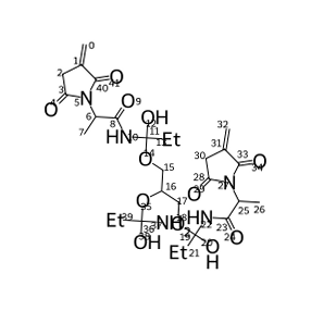 C=C1CC(=O)N(C(C)C(=O)NC(O)(CC)OCC(COC(O)(CC)NC(=O)C(C)N2C(=O)CC(=C)C2=O)OC(N)(O)CC)C1=O